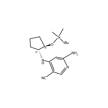 CC(C)(C)[Si](C)(C)O[C@@H]1CCC[C@H]1Nc1cc(N)ncc1C#N